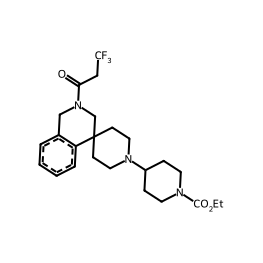 CCOC(=O)N1CCC(N2CCC3(CC2)CN(C(=O)CC(F)(F)F)Cc2ccccc23)CC1